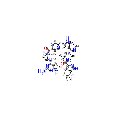 N#Cc1ccc2c(C(=O)N3CCN(c4ncnc5[nH]ccc45)CC34CC4)n[nH]c2c1.Nc1nc(N2CCN(C(=O)c3cnccn3)C3(CC3)C2)c2cc[nH]c2n1